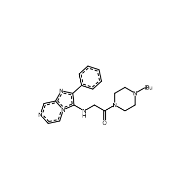 CCC(C)N1CCN(C(=O)CNc2c(-c3ccccc3)nc3cnccn23)CC1